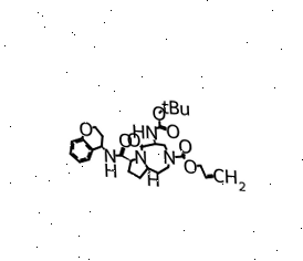 C=CCOC(=O)N1CC[C@H]2CC[C@@H](C(=O)N[C@@H]3CCOc4ccccc43)N2C(=O)[C@@H](NC(=O)OC(C)(C)C)C1